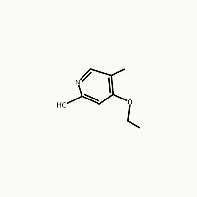 CCOc1cc(O)ncc1C